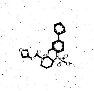 CS(=O)(=O)N[C@H]1CCCN(C(=O)OC2COC2)[C@H]1Cc1cccc(-c2ccccc2)c1